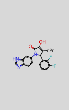 CCCC1=C(O)C(=O)N(c2ccc3nc[nH]c3c2)C1c1cccc(F)c1F